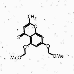 COCOc1cc(OCOC)c2c(=S)cc(C)oc2c1